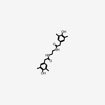 Cc1cc(CC(=O)NCCNC(=O)Cc2cc(C)c(O)c(C)c2)cc(C)c1O